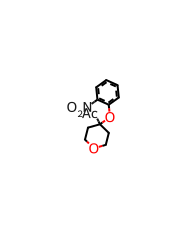 CC(=O)C1(Oc2ccccc2[N+](=O)[O-])CCOCC1